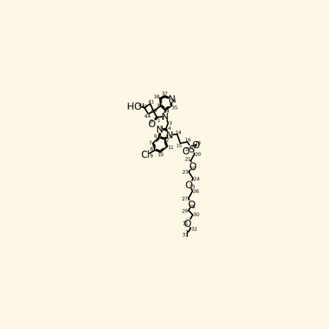 O=C1N(Cc2nc3cc(Cl)ccc3n2CCCS(=O)(=O)CCOCCOCCOCCOCI)c2cnccc2C12CC(O)C2